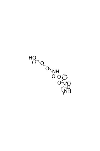 C=C1CCC(N2C(=O)c3cccc(OCC(=O)NCCOCCOCCC(=O)O)c3C2=O)C(=O)N1